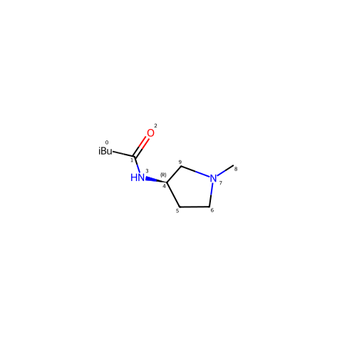 CCC(C)C(=O)N[C@@H]1CCN(C)C1